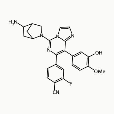 COc1ccc(-c2c(-c3ccc(C#N)c(F)c3)nc(N3CC4CC3CC4N)n3ccnc23)cc1O